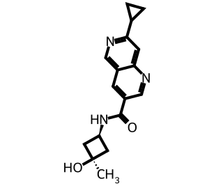 C[C@]1(O)C[C@@H](NC(=O)c2cnc3cc(C4CC4)ncc3c2)C1